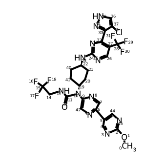 COc1ncc(-c2cnc(N(C(=O)NCC(F)(F)F)[C@H]3CC[C@H](Nc4ncc(C(F)(F)F)c(-c5n[nH]cc5Cl)n4)CC3)cn2)cn1